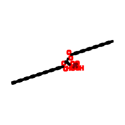 C#CC#CC#CC#CC#CC#CC#CC#CC(=O)O[C@H](COC(=O)C#CC#CC#CC#CC#CC#CC)COP(=O)(O)O